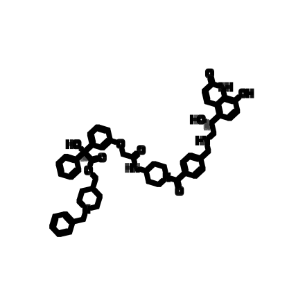 O=C(COc1cccc([C@](O)(C(=O)OCC2CCN(Cc3ccccc3)CC2)c2ccccc2)c1)NC1CCN(C(=O)c2ccc(CNC[C@H](O)c3ccc(O)c4[nH]c(=O)ccc34)cc2)CC1